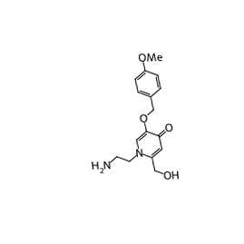 COc1ccc(COc2cn(CCN)c(CO)cc2=O)cc1